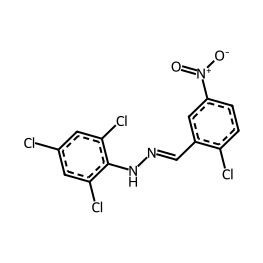 O=[N+]([O-])c1ccc(Cl)c(/C=N/Nc2c(Cl)cc(Cl)cc2Cl)c1